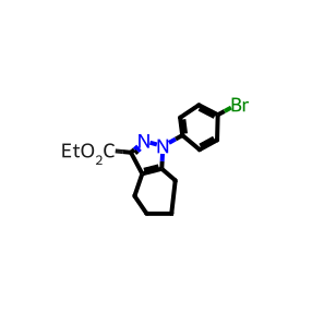 CCOC(=O)c1nn(-c2ccc(Br)cc2)c2c1CCCC2